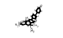 CC(C)CC1CC(C)(C)c2cc3oc4cc(-c5ccc(Cl)cc5)ccc4c3cc2C1(C)C